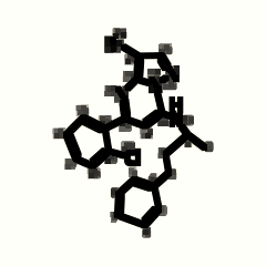 CC(CCc1ccccc1)Nc1cc(-c2ccccc2Cl)nc2c(Br)cnn12